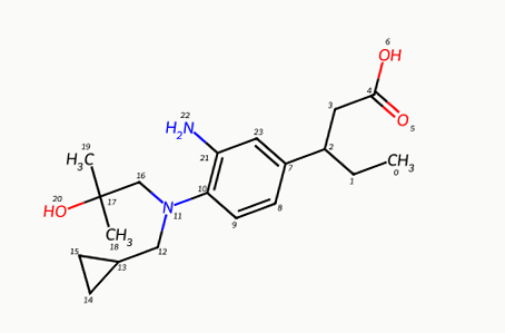 CCC(CC(=O)O)c1ccc(N(CC2CC2)CC(C)(C)O)c(N)c1